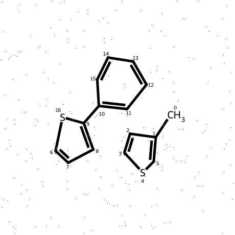 Cc1c[c]sc1.[c]1ccc(-c2ccccc2)s1